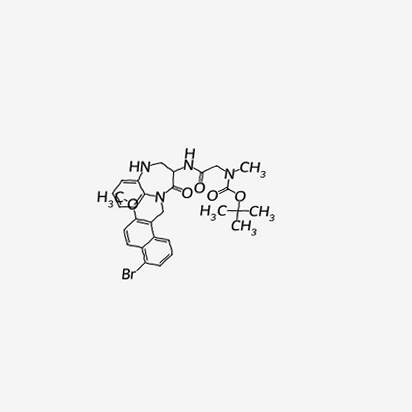 COc1ccc2c(Br)cccc2c1CN1C(=O)C(NC(=O)CN(C)C(=O)OC(C)(C)C)CNc2ccccc21